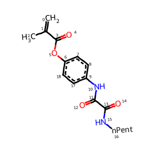 C=C(C)C(=O)Oc1ccc(NC(=O)C(=O)NCCCCC)cc1